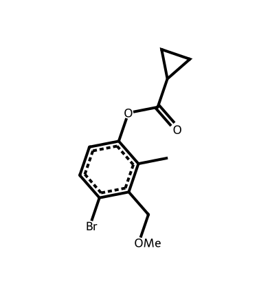 COCc1c(Br)ccc(OC(=O)C2CC2)c1C